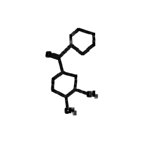 CC1CCC(C(=O)C2CCCCC2)CC1C